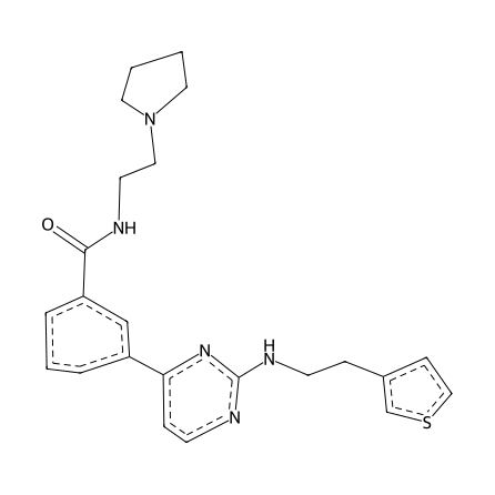 O=C(NCCN1CCCC1)c1cccc(-c2ccnc(NCCc3ccsc3)n2)c1